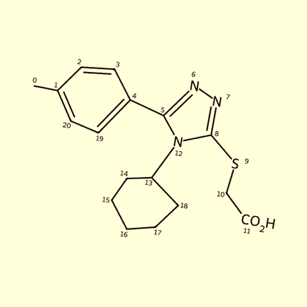 Cc1ccc(-c2nnc(SCC(=O)O)n2C2CCCCC2)cc1